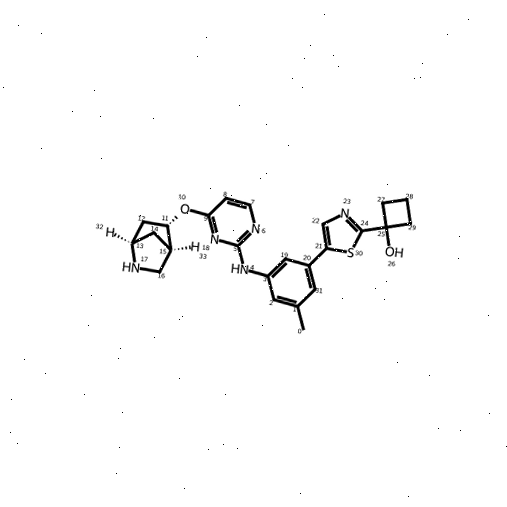 Cc1cc(Nc2nccc(O[C@H]3C[C@H]4C[C@@H]3CN4)n2)cc(-c2cnc(C3(O)CCC3)s2)c1